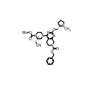 CN1CCC[C@H]1COc1nc2c(c(N3CCN(C(=O)OC(C)(C)C)[C@@H](CC#N)C3)n1)CCN(C(=O)OCc1ccccc1)C2